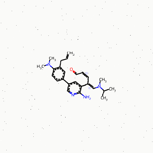 C=CCc1cc(-c2cnc(N)c(C(/C=C\C=O)=C/N(C)C(C)C)c2)ccc1N(C)C